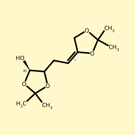 CC1(C)OC/C(=C\CC2OC(C)(C)O[C@H]2O)O1